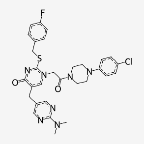 CN(C)c1ncc(Cc2cn(CC(=O)N3CCN(c4ccc(Cl)cc4)CC3)c(SCc3ccc(F)cc3)nc2=O)cn1